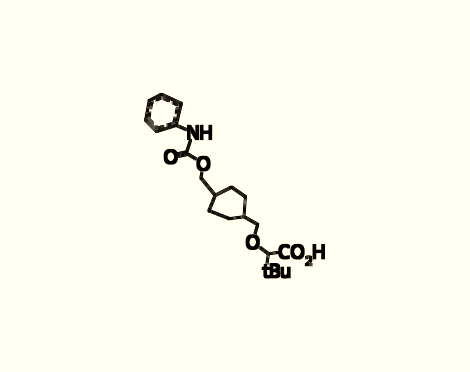 CC(C)(C)C(OCC1CCC(COC(=O)Nc2ccccc2)CC1)C(=O)O